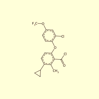 Cc1c(C2CC2)ccc(Oc2ccc(OC(F)(F)F)cc2Cl)c1C(=O)Cl